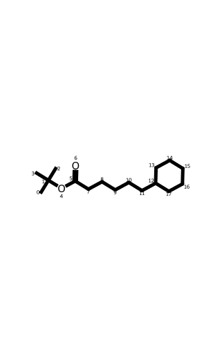 CC(C)(C)OC(=O)CCCCCC1CCCCC1